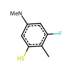 CNc1cc(F)c(C)c(S)c1